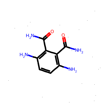 NC(=O)c1c(N)ccc(N)c1C(N)=O